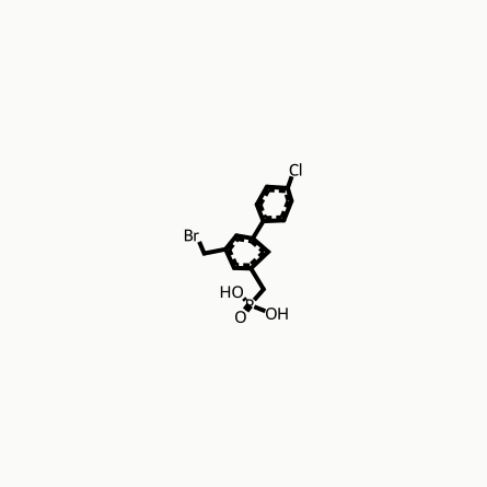 O=P(O)(O)Cc1cc(CBr)cc(-c2ccc(Cl)cc2)c1